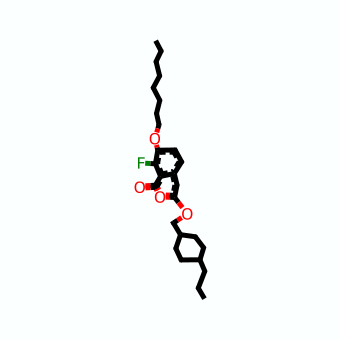 CCCCCCCCOc1ccc2cc(OCC3CCC(CCC)CC3)oc(=O)c2c1F